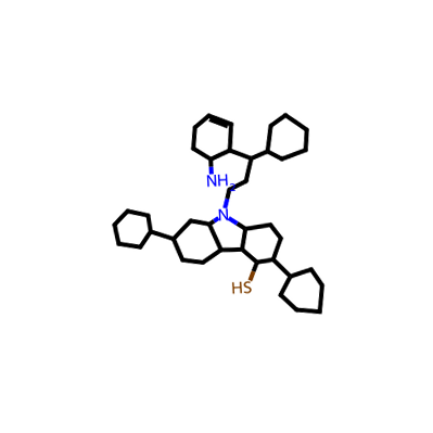 NC1CCC=CC1C(CCN1C2CC(C3CCCCC3)CCC2C2C(S)C(C3CCCCC3)CCC21)C1CCCCC1